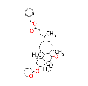 C/C=C1/C(=O)C2C(C)CCC([C@H](C)CCC(=O)OCc3ccccc3)CCCC2[C@@]2(C)CC[C@@H](OC3CCCCO3)C[C@@H]12